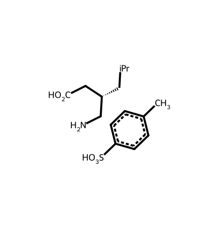 CC(C)C[C@H](CN)CC(=O)O.Cc1ccc(S(=O)(=O)O)cc1